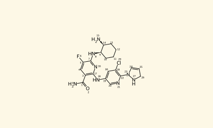 NC(=O)c1cc(F)c(N[C@@H]2CCCC[C@@H]2N)nc1Nc1cnc(N2C=CCN2)c(Cl)c1